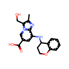 Cc1nc2c(NC3CCOc4ccccc43)cc(C(=O)O)cn2c1CO